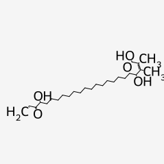 C=CC(=O)C(O)CCCCCCCCCCCCCCCCC(O)C(C)=C(C)C(=O)O